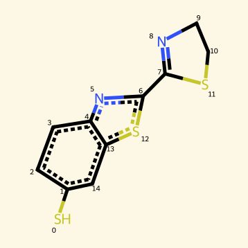 Sc1ccc2nc(C3=NCCS3)sc2c1